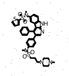 CN1CCN(CCCS(=O)(=O)N(C)c2ccc(-c3cnc4[nH]c5ccc(N(C)S(=O)(=O)c6cccs6)cc5c4c3-c3ccccc3)cc2)CC1